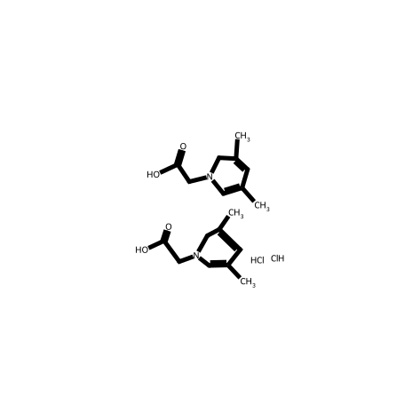 CC1=CN(CC(=O)O)CC(C)=C1.CC1=CN(CC(=O)O)CC(C)=C1.Cl.Cl